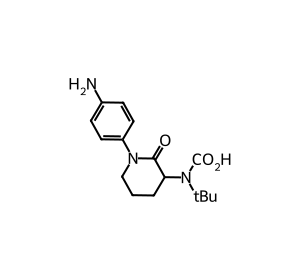 CC(C)(C)N(C(=O)O)C1CCCN(c2ccc(N)cc2)C1=O